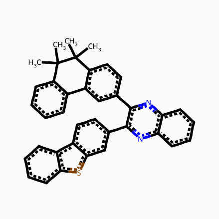 CC1(C)c2ccccc2-c2cc(-c3nc4ccccc4nc3-c3ccc4c(c3)sc3ccccc34)ccc2C1(C)C